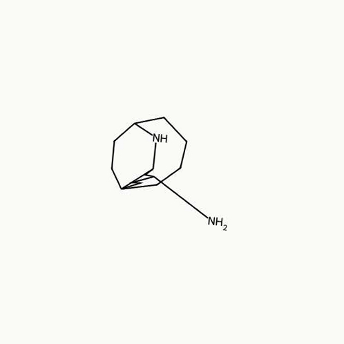 NC1CCC23CCCCC(CC2)NC3C1